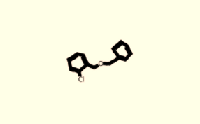 Clc1cc[c]cc1COCc1ccccc1